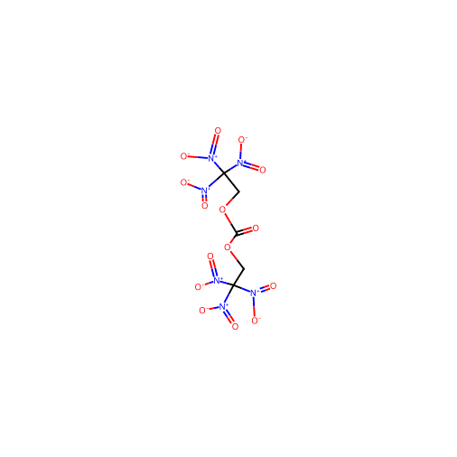 O=C(OCC([N+](=O)[O-])([N+](=O)[O-])[N+](=O)[O-])OCC([N+](=O)[O-])([N+](=O)[O-])[N+](=O)[O-]